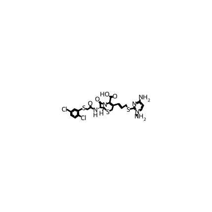 Nc1cc[n+](N)c(SCC=CC2=C(C(=O)O)N3C(=O)[C@@H](NC(=O)CSc4cc(Cl)ccc4Cl)[C@H]3SC2)n1